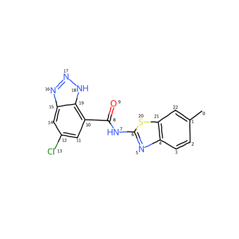 Cc1ccc2nc(NC(=O)c3cc(Cl)cc4nn[nH]c34)sc2c1